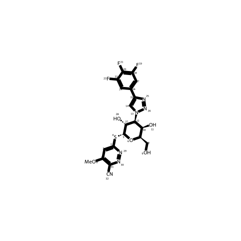 COc1cc(S[C@H]2O[C@H](CO)[C@H](O)[C@H](n3cc(-c4cc(F)c(F)c(F)c4)nn3)[C@H]2O)nnc1C#N